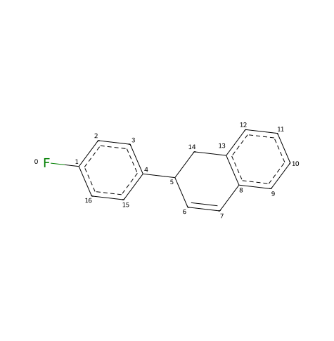 Fc1ccc(C2C=Cc3ccccc3C2)cc1